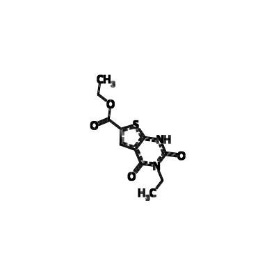 CCOC(=O)c1cc2c(=O)n(CC)c(=O)[nH]c2s1